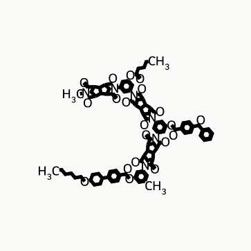 CCCCCCOC1CCC(c2ccc(C(=O)Oc3cc(C)cc(N4C(=O)C5CC(C4=O)C4C6CC(C(=O)N(c7cc(OC(=O)c8ccc(C(=O)c9ccccc9)cc8)cc(N8C(=O)C9CC(C8=O)C8C%10CC(C(=O)N(c%11cc(OC(=O)CCCC)cc(N%12C(=O)C%13CC(C%12=O)C%12C%14CC(C(=O)N(C)C%14=O)C%13%12)c%11)C%10=O)C98)c7)C6=O)C54)c3)cc2)CC1